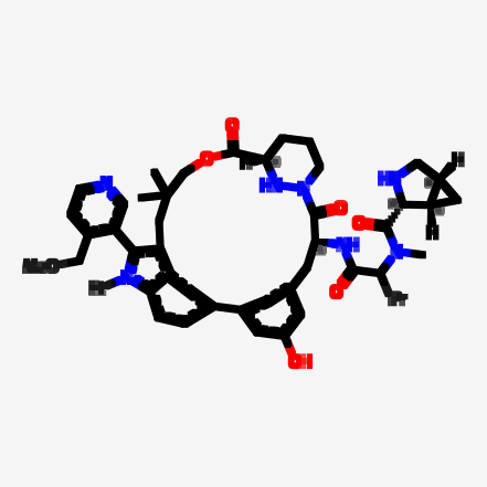 CCn1c(-c2cnccc2COC)c2c3cc(ccc31)-c1cc(O)cc(c1)C[C@H](NC(=O)C(C(C)C)N(C)C(=O)[C@@H]1NC[C@@H]3C[C@@H]31)C(=O)N1CCC[C@H](N1)C(=O)OCC(C)(C)C2